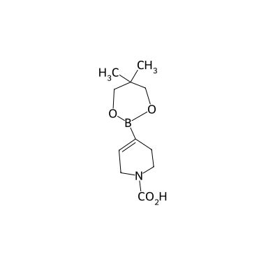 CC1(C)COB(C2=CCN(C(=O)O)CC2)OC1